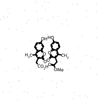 COC(=O)Cc1c(C)c2ccc(O)cc2oc1=O.Cc1c(CC(=O)O)c(=O)oc2cc(O)ccc12